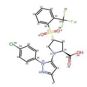 Cc1cc(N2C[C@H](S(=O)(=O)c3ccccc3C(F)(F)F)C[C@H]2C(=O)O)n(-c2ccc(Cl)cc2)n1